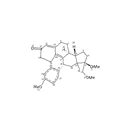 COC[C@@]1(OC)CC[C@H]2[C@@H]3CCC4=CC(=O)CCC4=C3[C@@H](c3ccc(OC)cc3)CC21C